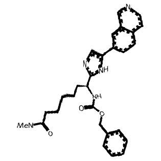 CNC(=O)CCCCC[C@H](NC(=O)OCc1ccccc1)c1ncc(-c2ccc3ccncc3c2)[nH]1